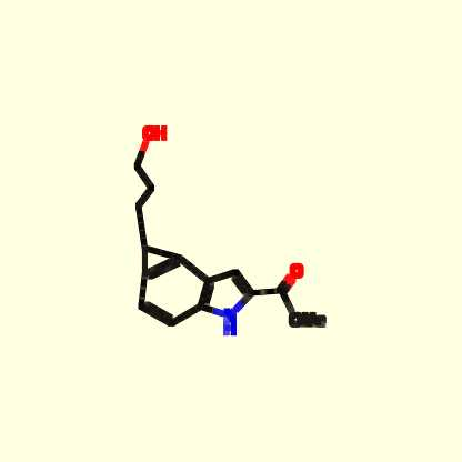 COC(=O)c1cc2c3c(ccc2[nH]1)C3CCCO